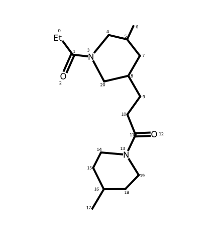 CCC(=O)N1CC(C)CC(CCC(=O)N2CCC(C)CC2)C1